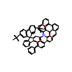 CC(C)(C)c1ccc2c(c1)C1(c3ccccc3-c3ccc(N(c4ccccc4-c4ccc(-c5ccccc5)cc4)c4ccccc4-c4cccc5cccc(-c6ccccc6)c45)cc31)c1cc(C(C)(C)C)ccc1-2